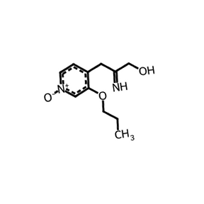 CCCOc1c[n+]([O-])ccc1CC(=N)CO